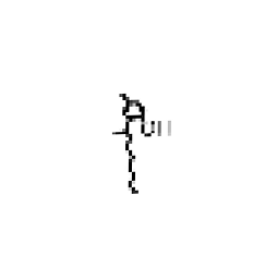 CCCCCCCC(C)c1cc(C)ccc1O